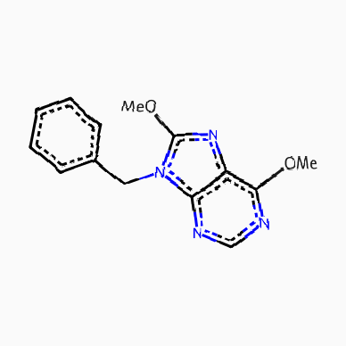 COc1ncnc2c1nc(OC)n2Cc1ccccc1